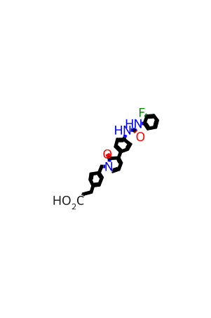 O=C(O)CCc1ccc(Cn2cccc(-c3ccc(NC(=O)Nc4ccccc4F)cc3)c2=O)cc1